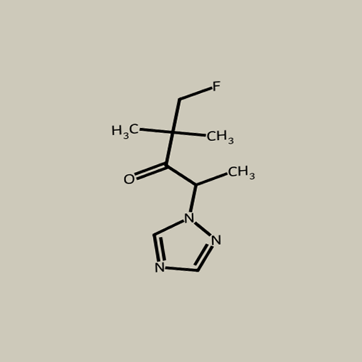 CC(C(=O)C(C)(C)CF)n1cncn1